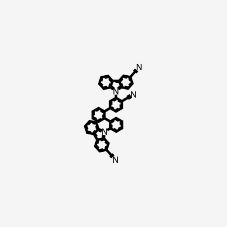 N#Cc1ccc2c(c1)c1ccccc1n2-c1cc(-c2ccccc2-c2ccccc2-n2c3ccccc3c3ccc(C#N)cc32)ccc1C#N